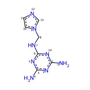 Nc1nc(N)nc(NCn2ccnc2)n1